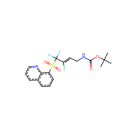 CC(C)(C)OC(=O)NC/C=C(\F)C(F)(F)S(=O)(=O)c1cccc2cccnc12